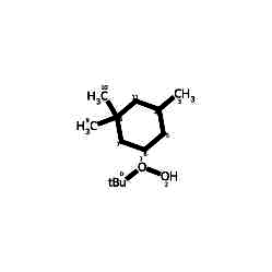 CC(C)(C)OO.CC1CCCC(C)(C)C1